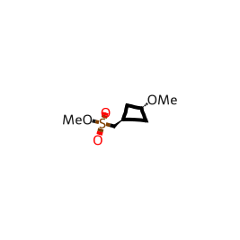 COS(=O)(=O)C[C@H]1C[C@H](OC)C1